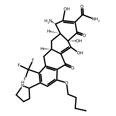 CCCCOc1cc(C2CCCN2)c(C(F)(F)F)c2c1C(=O)C1=C(O)[C@]3(O)C(=O)C(C(N)=O)=C(O)[C@@H](N)[C@@H]3C[C@@H]1C2